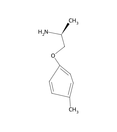 Cc1ccc(OC[C@H](C)N)cc1